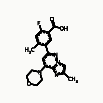 Cc1cn2nc(-c3cc(C(=O)O)c(F)cc3C)cc(N3CCOCC3)c2n1